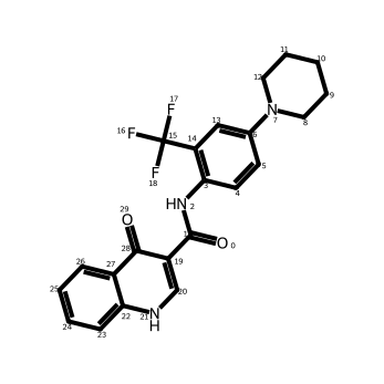 O=C(Nc1ccc(N2CCCCC2)cc1C(F)(F)F)c1c[nH]c2ccccc2c1=O